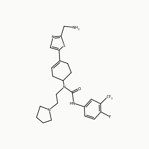 NCc1ncc(C2=CCC(N(CCN3CCCC3)C(=O)Nc3ccc(F)c(C(F)(F)F)c3)CC2)s1